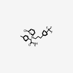 CNC(=O)[C@H](c1ccc(C)cc1)N(CCCc1ccc(C(F)(F)F)cc1)c1cccc(Cl)n1